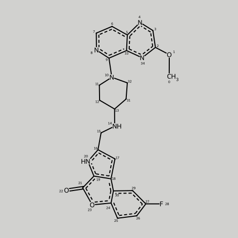 COc1cnc2ccnc(N3CCC(NCc4cc5c([nH]4)c(=O)oc4ccc(F)cc45)CC3)c2n1